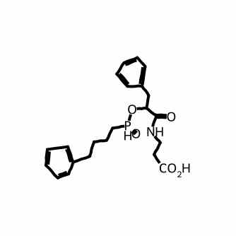 O=C(O)CCNC(=O)C(Cc1ccccc1)O[PH](=O)CCCCc1ccccc1